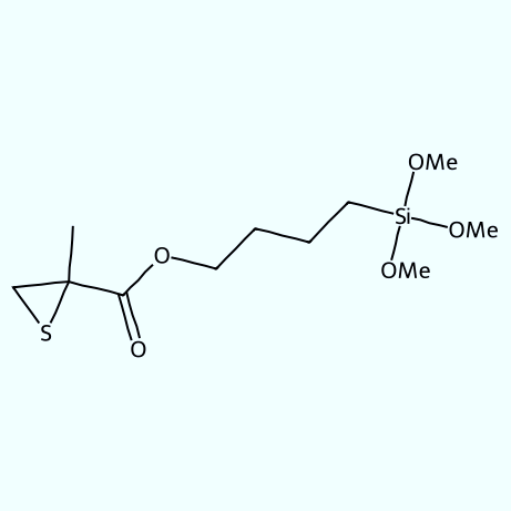 CO[Si](CCCCOC(=O)C1(C)CS1)(OC)OC